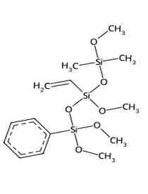 C=C[Si](OC)(O[Si](C)(C)OC)O[Si](OC)(OC)c1ccccc1